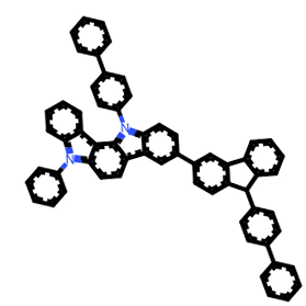 c1ccc(-c2ccc(C3c4ccccc4-c4cc(-c5ccc6c(c5)c5ccc7c(c8ccccc8n7-c7ccccc7)c5n6-c5ccc(-c6ccccc6)cc5)ccc43)cc2)cc1